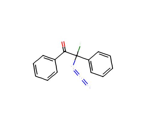 [N-]=[N+]=NC(F)(C(=O)c1ccccc1)c1ccccc1